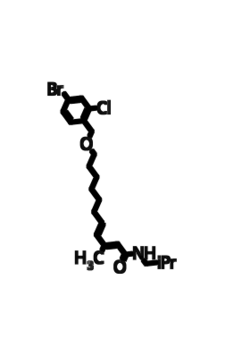 CC(C=CCCCCCCOCc1ccc(Br)cc1Cl)=CC(=O)NCC(C)C